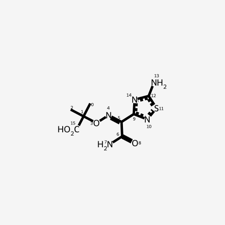 CC(C)(O/N=C(\C(N)=O)c1nsc(N)n1)C(=O)O